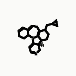 C1=CC2=CCC3=C4[C@H](CCC3CC3CC3)[C@H]3CN=CC=C3N4C2CC1